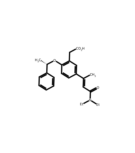 CCN(CC)C(=O)/C=C(\C)c1ccc(O[C@@H](C)c2ccccc2)c(CC(=O)O)c1